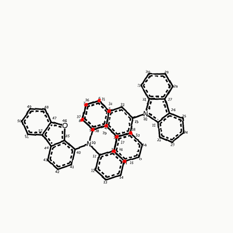 c1ccc(-c2ccccc2N(c2ccccc2-c2cc(-n3c4ccccc4c4ccccc43)cc3ccccc23)c2cccc3c2oc2ccccc23)cc1